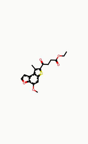 CCOC(=O)CCC(=O)c1sc2cc(OC)c3occc3c2c1C